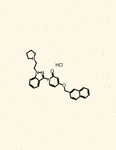 Cl.O=c1cc(OCc2ccc3ccccc3c2)ccn1-c1nn(CCN2CCCC2)c2ccccc12